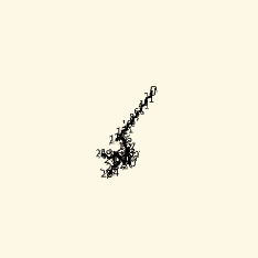 CCCCCCCCCCCCCC(C)CCCC(CC)N(CCCC)CCCC